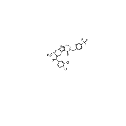 C[C@@H]1Cc2nn3c(c2CN1C(=O)c1ccc(Cl)c(Cl)c1)C(=O)N(Cc1ccc(C(F)(F)F)cn1)CC3